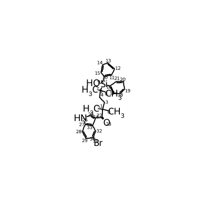 CC(C)(CCC(C)(C)[Si](O)(c1ccccc1)c1ccccc1)C(=O)c1c[nH]c2ccc(Br)cc12